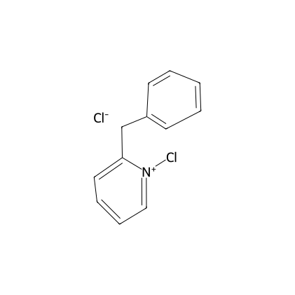 Cl[n+]1ccccc1Cc1ccccc1.[Cl-]